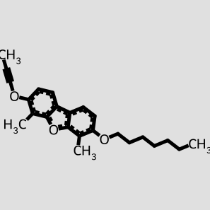 CC#COc1ccc2c(oc3c(C)c(OCCCCCCC)ccc32)c1C